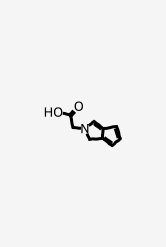 O=C(O)CN1C=C2C=CC=C2C1